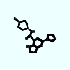 O=C(N[C@H]1CC[C@H](F)CC1)c1nc(-n2ccnc2)nc2cc[nH]c12